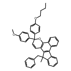 CCCCOc1ccc(C2(c3ccc(OC)cc3)C=Cc3c4c(c5ccccc5c3O2)-c2ccccc2C4(C)Cc2ccccc2)cc1